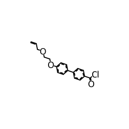 C=CCOCCOc1ccc(-c2ccc(C(=O)Cl)cc2)cc1